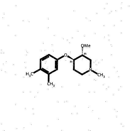 CO[C@@H]1CN(C)CC[C@H]1Oc1ccc(C)c(C)c1